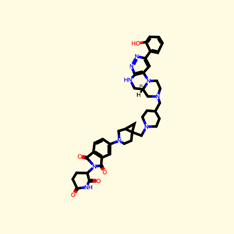 O=C1CCC(N2C(=O)c3ccc(N4CCC5(CN6CCC(CN7CCN8c9cc(-c%10ccccc%10O)nnc9NC[C@H]8C7)CC6)CC5C4)cc3C2=O)C(=O)N1